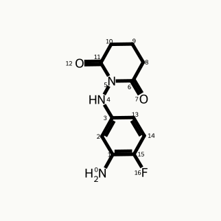 Nc1cc(NN2C(=O)CCCC2=O)ccc1F